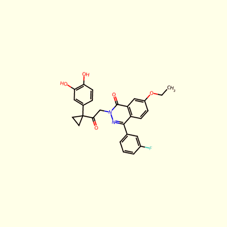 CCOc1ccc2c(-c3cccc(F)c3)nn(CC(=O)C3(c4ccc(O)c(O)c4)CC3)c(=O)c2c1